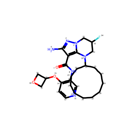 Nc1nn2c(c1C(=O)Nc1cnccc1OC1COC1)N(C1CCCCCCCCCC1)CC(F)C2